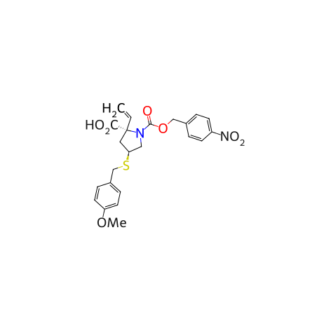 C=C[C@]1(C(=O)O)C[C@H](SCc2ccc(OC)cc2)CN1C(=O)OCc1ccc([N+](=O)[O-])cc1